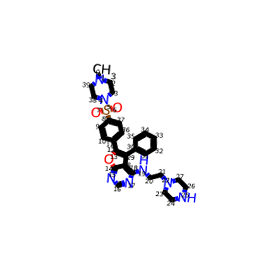 CN1CCN(S(=O)(=O)c2ccc(-c3oc4ncnc(NCCN5CCNCC5)c4c3-c3ccccc3)cc2)CC1